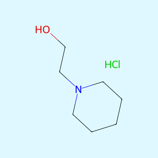 Cl.OCCN1CCCCC1